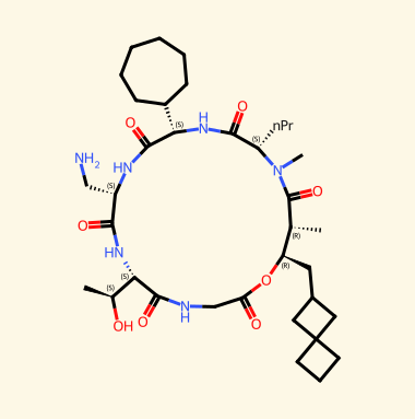 CCC[C@H]1C(=O)N[C@@H](C2CCCCCC2)C(=O)N[C@@H](CN)C(=O)N[C@@H]([C@H](C)O)C(=O)NCC(=O)O[C@H](CC2CC3(CCC3)C2)[C@@H](C)C(=O)N1C